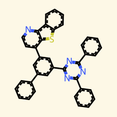 c1ccc(-c2cc(-c3nc(-c4ccccc4)nc(-c4ccccc4)n3)cc(-c3ccnc4c3sc3ccccc34)c2)cc1